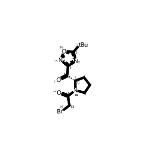 CC(C)(C)c1nc(C(=O)[C@@H]2CCCN2C(=O)CBr)no1